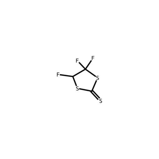 FC1SC(=S)SC1(F)F